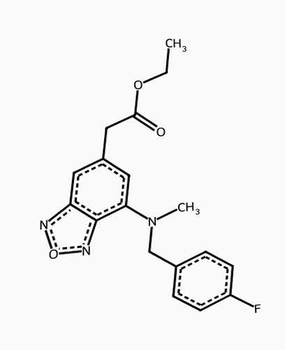 CCOC(=O)Cc1cc(N(C)Cc2ccc(F)cc2)c2nonc2c1